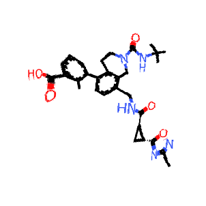 Cc1noc([C@@H]2C[C@H]2C(=O)NCc2ccc(-c3cccc(C(=O)O)c3C)c3c2CN(C(=O)NC(C)(C)C)CC3)n1